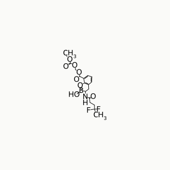 CCOC(=O)OCOC(=O)c1cccc2c1OB(O)C(NC(=O)CCC(C)(F)F)C2